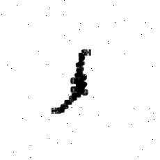 O=C1C2CC3C(=O)N(CCCSCCSCCS)C(=O)C3C2C(=O)N1CCCSCCSCCS